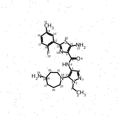 CCn1ncc(NC(=O)c2nc(-c3cc(C)ccc3F)sc2N)c1N1CCC[C@@H](N)CC1